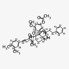 COc1cc(OC(C)=O)c2c3c1O[C@H]1[C@@H](N(C)C(=O)C#Cc4ccc(C)c(C)c4)CC[C@H]4[C@@H](C2)N(CCc2ccccc2)CC[C@@]341